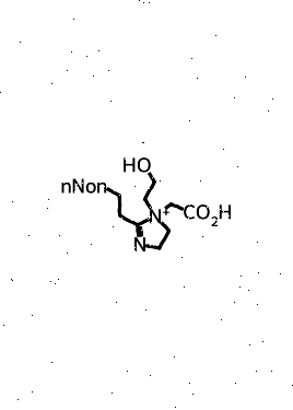 CCCCCCCCCCCC1=NCC[N+]1(CCO)CC(=O)O